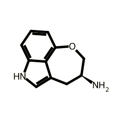 N[C@@H]1COc2cccc3[nH]cc(c23)C1